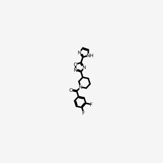 O=C(c1ccc(F)c(F)c1)N1CCCC(c2noc(-c3ncc[nH]3)n2)C1